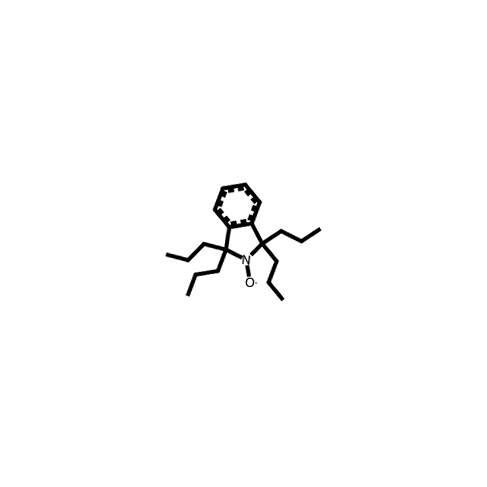 CCCC1(CCC)c2ccccc2C(CCC)(CCC)N1[O]